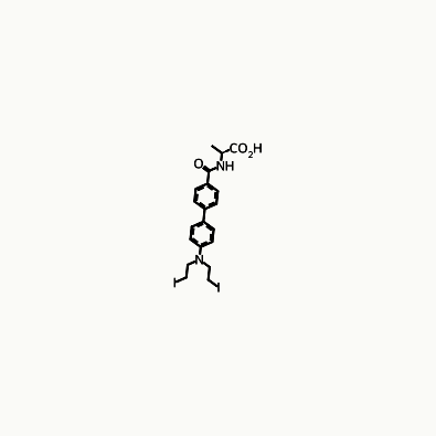 C[C@H](NC(=O)c1ccc(-c2ccc(N(CCI)CCI)cc2)cc1)C(=O)O